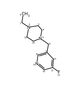 CCN1CCN(Cc2cncc(F)c2)CC1